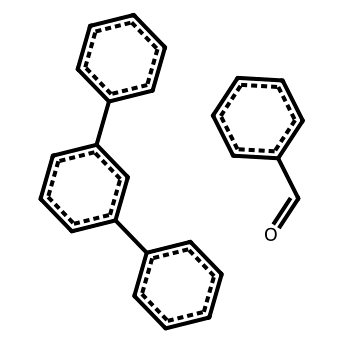 O=Cc1ccccc1.c1ccc(-c2cccc(-c3ccccc3)c2)cc1